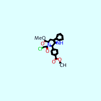 C#COC(=O)c1ccc(C2c3[nH]c4ccccc4c3CC(C(=O)OC)N2C(=O)CCl)cc1